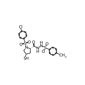 Cc1ccc(S(=O)(=O)NNC(=O)[C@@H]2C[C@@H](S)CN2S(=O)(=O)c2ccc(Cl)cc2)cc1